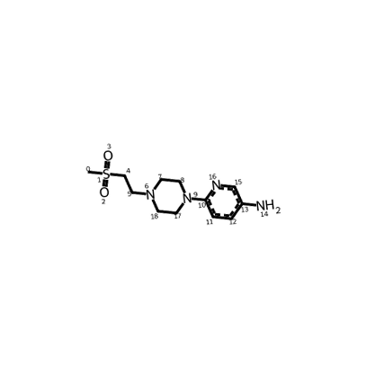 CS(=O)(=O)CCN1CCN(c2ccc(N)cn2)CC1